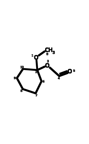 COC1(OC=O)CCCCC1